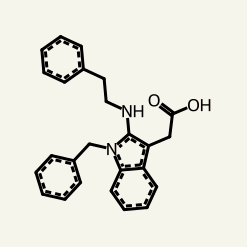 O=C(O)Cc1c(NCCc2ccccc2)n(Cc2ccccc2)c2ccccc12